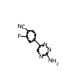 N#Cc1ccc(-c2cnc(N)nn2)cc1F